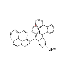 COC1=CC2C(c3ccccc3-c3ccccc3)=c3ccccc3=C(C3=C4C=CC5=CC=CC6C=CC(C=C3)C4C56)C2C=C1